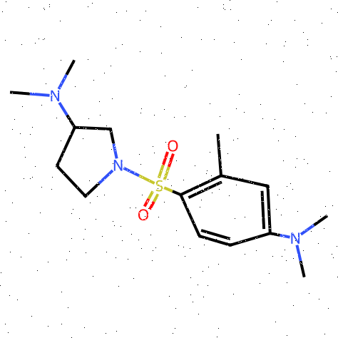 Cc1cc(N(C)C)ccc1S(=O)(=O)N1CCC(N(C)C)C1